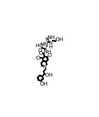 N/N=C(\NCCO)NC[C@H](NC(=O)c1c(Cl)cc2c(c1Cl)CCN(CCC(O)c1cccc(O)c1)C2)C(=O)O